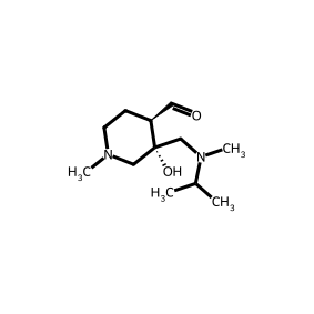 CC(C)N(C)C[C@@]1(O)CN(C)CC[C@H]1C=O